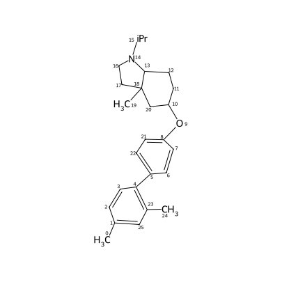 Cc1ccc(-c2ccc(OC3CCC4N(C(C)C)CCC4(C)C3)cc2)c(C)c1